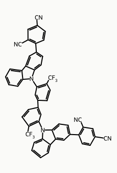 N#Cc1ccc(-c2ccc3c(c2)c2ccccc2n3-c2cc(-c3ccc(C(F)(F)F)c(-n4c5ccccc5c5cc(-c6ccc(C#N)cc6C#N)ccc54)c3)ccc2C(F)(F)F)c(C#N)c1